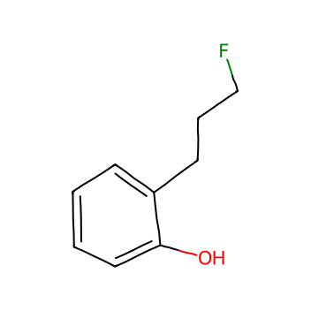 Oc1ccccc1CCCF